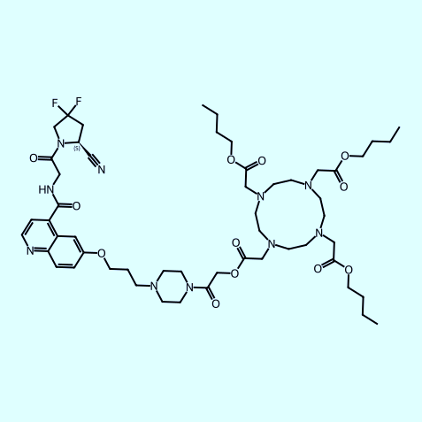 CCCCOC(=O)CN1CCN(CC(=O)OCCCC)CCN(CC(=O)OCC(=O)N2CCN(CCCOc3ccc4nccc(C(=O)NCC(=O)N5CC(F)(F)C[C@H]5C#N)c4c3)CC2)CCN(CC(=O)OCCCC)CC1